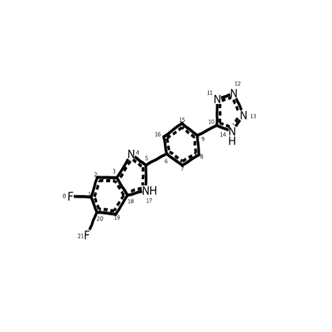 Fc1cc2nc(-c3ccc(-c4nnn[nH]4)cc3)[nH]c2cc1F